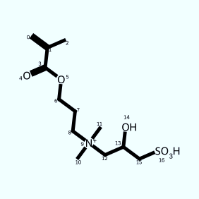 C=C(C)C(=O)OCCC[N+](C)(C)CC(O)CS(=O)(=O)O